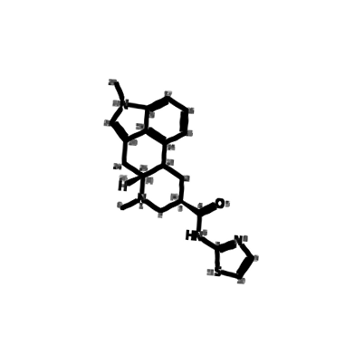 CN1C[C@H](C(=O)Nc2nccs2)CC2c3cccc4c3c(cn4C)C[C@H]21